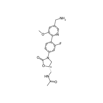 COc1cc(CN)cnc1-c1ccc(N2C[C@H](CNC(C)=O)OC2=O)cc1F